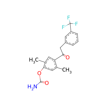 Cc1cc(C(=O)Cc2cccc(C(F)(F)F)c2)c(C)cc1OC(N)=O